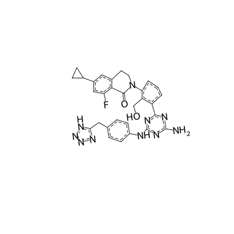 Nc1nc(Nc2ccc(Cc3nnn[nH]3)cc2)nc(-c2cccc(N3CCc4cc(C5CC5)cc(F)c4C3=O)c2CO)n1